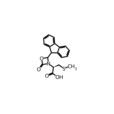 CSC[C@@H](C(=O)O)N1C(=O)OC1C1c2ccccc2-c2ccccc21